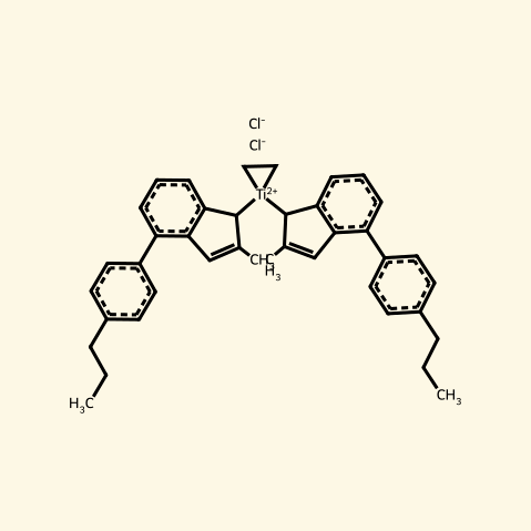 CCCc1ccc(-c2cccc3c2C=C(C)[CH]3[Ti+2]2([CH]3C(C)=Cc4c(-c5ccc(CCC)cc5)cccc43)[CH2][CH2]2)cc1.[Cl-].[Cl-]